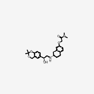 CN(C)C(=O)COc1ccc2c(c1)C[C@@H](NC[C@@H](O)c1ccc3c(c1)COC(C)(C)O3)CC2